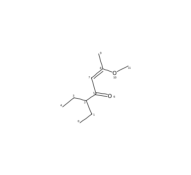 CCC(CC)C(=O)/C=C(/C)OC